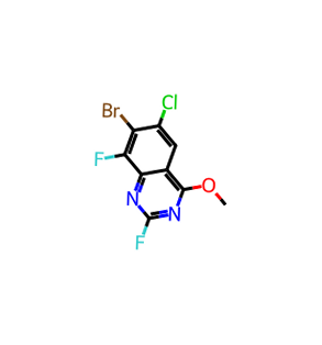 COc1nc(F)nc2c(F)c(Br)c(Cl)cc12